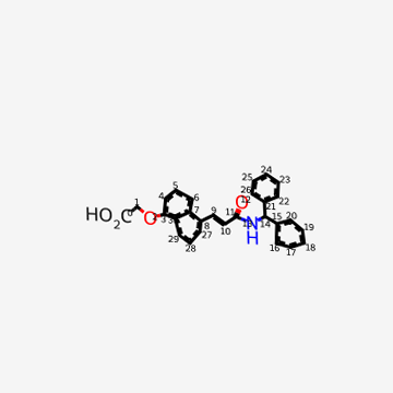 O=C(O)COc1cccc2c(C=CC(=O)NC(c3ccccc3)c3ccccc3)cccc12